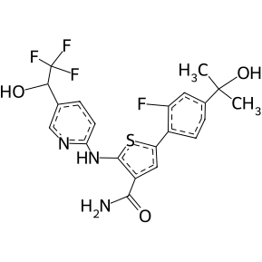 CC(C)(O)c1ccc(-c2cc(C(N)=O)c(Nc3ccc(C(O)C(F)(F)F)cn3)s2)c(F)c1